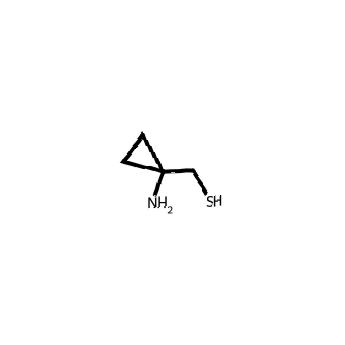 NC1(CS)CC1